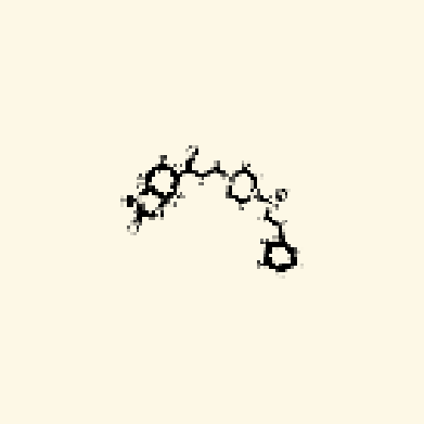 O=C(CCN1CCN([S+]([O-])CCc2ccccc2)CC1)c1ccc2[nH]c(=O)oc2c1